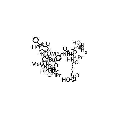 CC[C@H](C)[C@@H]([C@@H](CC(=O)N1CCC[C@H]1C(OC)[C@@H](C)C(=O)C[C@H](C)[C@@H](O)c1ccccc1)OC)N(C)C(=O)[C@@H](NC(=O)[C@H](C(C)C)N(C)C(=O)OCc1ccc(CNC(=O)[C@H](CCCNC(N)O)NC(=O)[C@@H](NC(=O)CCCCCN2C(=O)C=CC2O)C(C)C)cc1)C(C)C